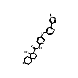 Cn1cc(-c2cc(Oc3ccc(NC(=O)N4CCC5(CCNCC5)C4O)nc3)ccn2)cn1